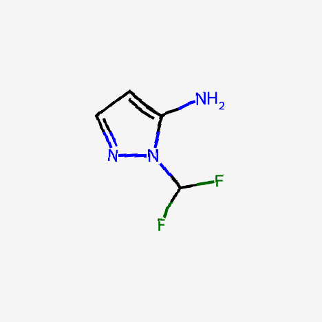 Nc1ccnn1C(F)F